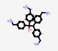 NCc1ccc(C(c2ccc(CN)cc2)C(O)(c2ccc(CN)cc2)c2ccc(CN)cc2)cc1